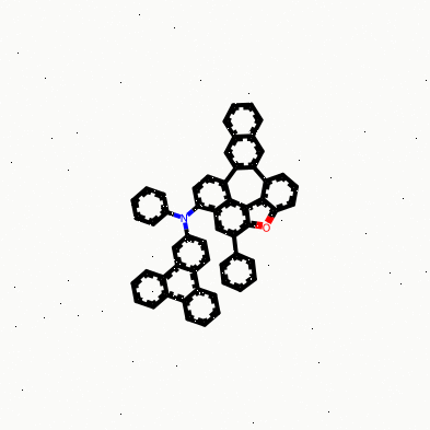 c1ccc(-c2cc3c(N(c4ccccc4)c4ccc5c6ccccc6c6ccccc6c5c4)ccc4c3c3c2oc2cccc(c23)-c2cc3ccccc3cc2-4)cc1